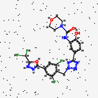 O=C(Nc1cc(-c2nnn(Cc3c(F)cc(-c4nnc(C(F)F)o4)cc3F)n2)ccc1O)N1CCOCC1